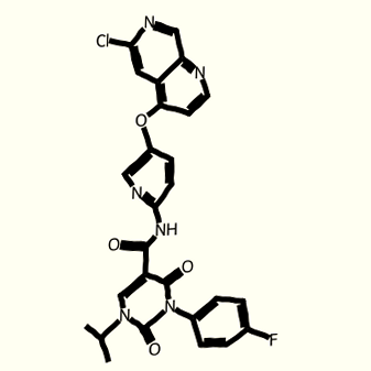 CC(C)n1cc(C(=O)Nc2ccc(Oc3ccnc4cnc(Cl)cc34)cn2)c(=O)n(-c2ccc(F)cc2)c1=O